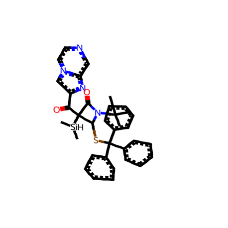 C[SiH](C)C1(C(=O)c2cn3ccncc3n2)C(=O)N(C(C)(C)C)C1SC(c1ccccc1)(c1ccccc1)c1ccccc1